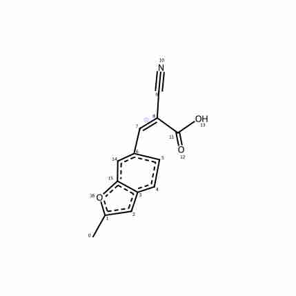 Cc1cc2ccc(/C=C(/C#N)C(=O)O)cc2o1